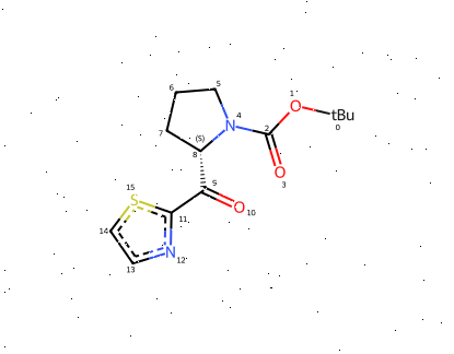 CC(C)(C)OC(=O)N1CCC[C@H]1C(=O)c1nccs1